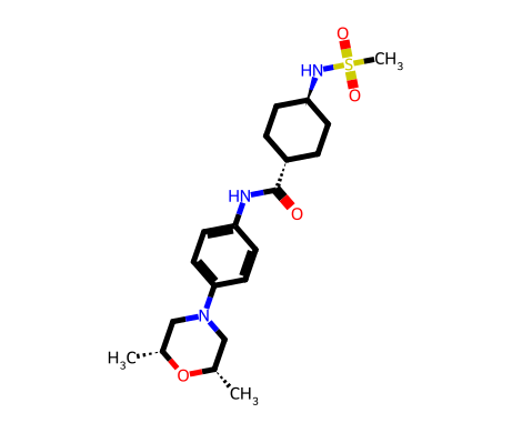 C[C@@H]1CN(c2ccc(NC(=O)[C@H]3CC[C@H](NS(C)(=O)=O)CC3)cc2)C[C@H](C)O1